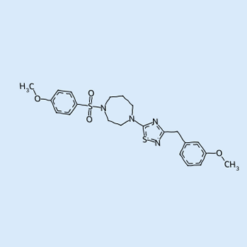 COc1ccc(S(=O)(=O)N2CCCN(c3nc(Cc4cccc(OC)c4)ns3)CC2)cc1